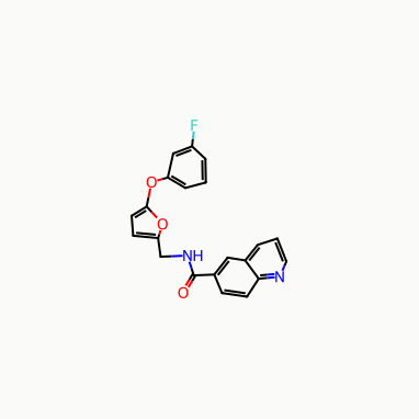 O=C(NCc1ccc(Oc2cccc(F)c2)o1)c1ccc2ncccc2c1